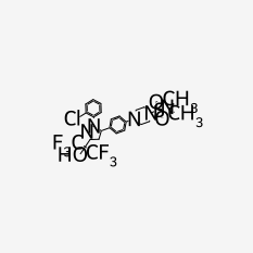 CN(C)S(=O)(=O)N1CCN(c2ccc(C3CC(C(O)(C(F)(F)F)C(F)(F)F)=NN3c3ccccc3Cl)cc2)CC1